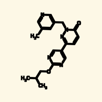 Cc1cncc(Cn2nc(-c3cnc(OCC(C)C)nc3)ccc2=O)c1